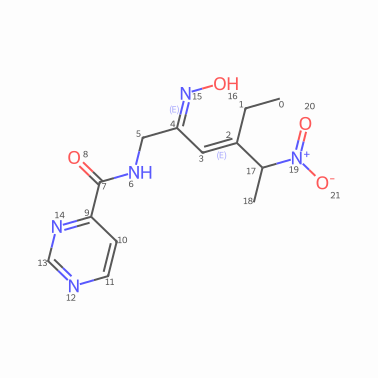 CC/C(=C\C(CNC(=O)c1ccncn1)=N/O)C(C)[N+](=O)[O-]